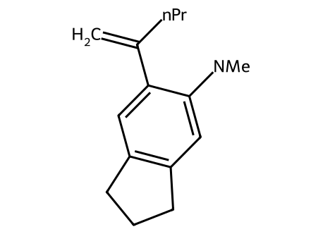 C=C(CCC)c1cc2c(cc1NC)CCC2